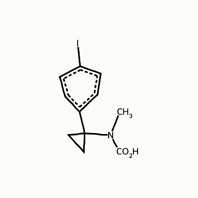 CN(C(=O)O)C1(c2ccc(I)cc2)CC1